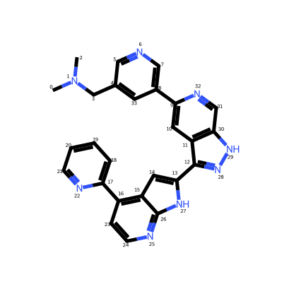 CN(C)Cc1cncc(-c2cc3c(-c4cc5c(-c6ccccn6)ccnc5[nH]4)n[nH]c3cn2)c1